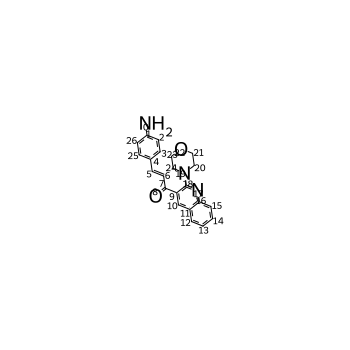 Nc1ccc(C=CC(=O)c2cc3ccccc3nc2N2CCOCC2)cc1